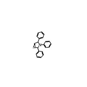 C1=NC(c2ccccc2)N(c2ccccc2)C1c1ccccc1